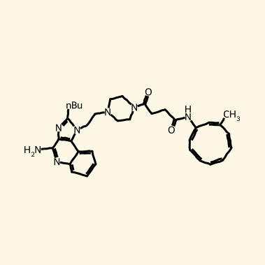 CCCCc1nc2c(N)nc3ccccc3c2n1CCN1CCN(C(=O)CCC(=O)Nc2cccccccc(C)c2)CC1